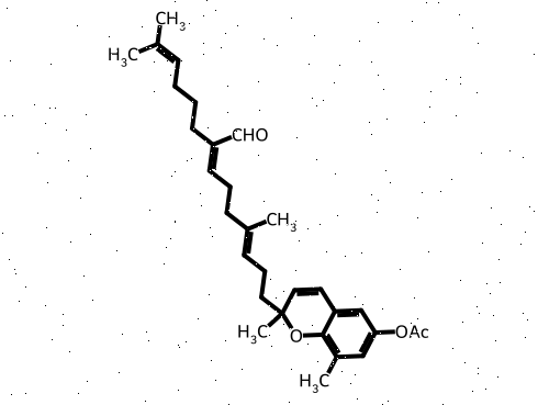 CC(=O)Oc1cc(C)c2c(c1)C=CC(C)(CC/C=C(\C)CC/C=C(\C=O)CCCC=C(C)C)O2